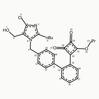 CCCCc1nc(Cl)c(CO)n1Cc1ccc(-c2ccccc2-c2c(OC(C)C)c(=O)c2=O)cc1